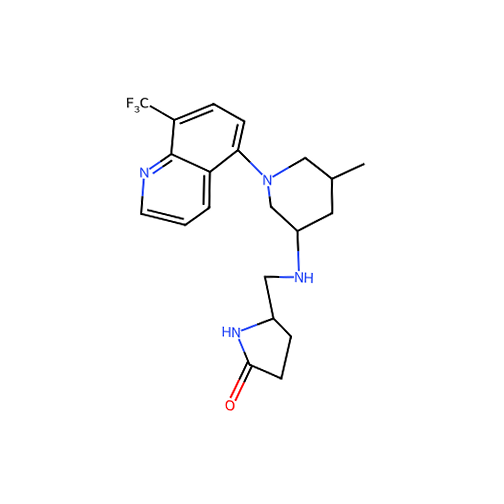 CC1CC(NCC2CCC(=O)N2)CN(c2ccc(C(F)(F)F)c3ncccc23)C1